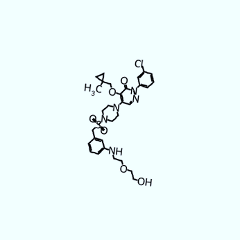 CC1(COc2c(N3CCN(S(=O)(=O)Cc4cccc(NCCOCCO)c4)CC3)cnn(-c3cccc(Cl)c3)c2=O)CC1